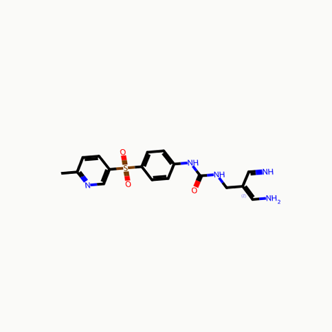 Cc1ccc(S(=O)(=O)c2ccc(NC(=O)NC/C(C=N)=C/N)cc2)cn1